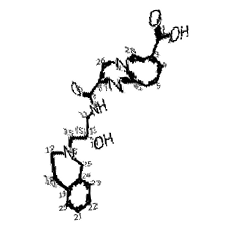 O=C(O)c1ccc2nc(C(=O)NC[C@H](O)CN3CCc4ccccc4C3)cn2c1